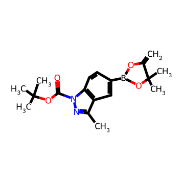 C=C1OB(c2ccc3c(c2)c(C)nn3C(=O)OC(C)(C)C)OC1(C)C